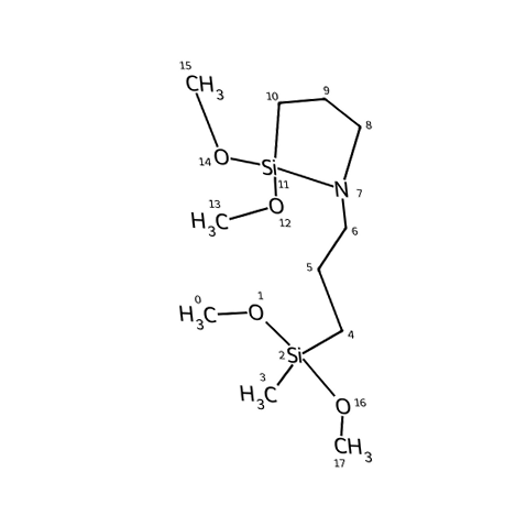 CO[Si](C)(CCCN1CCC[Si]1(OC)OC)OC